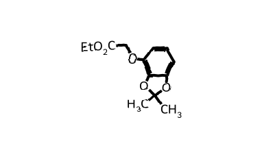 CCOC(=O)COc1cccc2c1OC(C)(C)O2